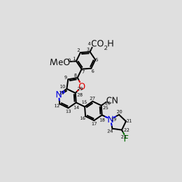 COc1cc(C(=O)O)ccc1-c1cc2nccc(-c3ccc(N4CCC(F)C4)c(C#N)c3)c2o1